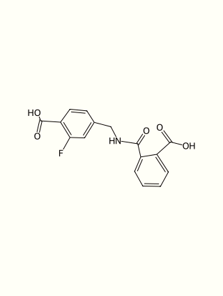 O=C(O)c1ccc(CNC(=O)c2ccccc2C(=O)O)cc1F